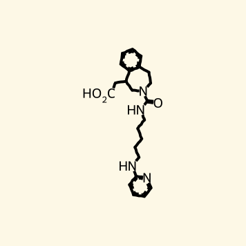 O=C(O)CC1CN(C(=O)NCCCCCNc2ccccn2)CCc2ccccc21